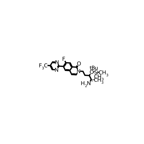 C[C@H](N)C(CCn1ccc2cc(-c3ncc(C(F)(F)F)cn3)c(F)cc2c1=O)O[Si](C)(C)C(C)(C)C